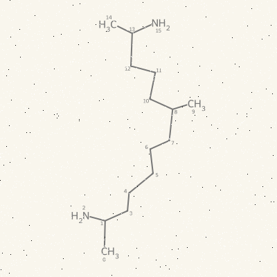 CC(N)CCCCCC(C)CCCC(C)N